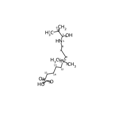 C=C(C)C(O)NCCC[N+](C)(C)CCCCS(=O)(=O)O